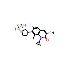 Cc1c(N2CC[C@H](NC(=O)O)C2)c(F)cc2cc(C#N)c(=O)n(C3CC3)c12